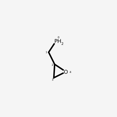 PCC1CO1